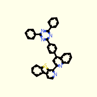 c1ccc(-c2nc(-c3ccccc3)nc(-c3ccc(-c4cc(-c5nccc6c5sc5ccccc56)nc5ccccc45)cc3)n2)cc1